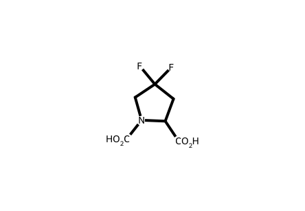 O=C(O)C1CC(F)(F)CN1C(=O)O